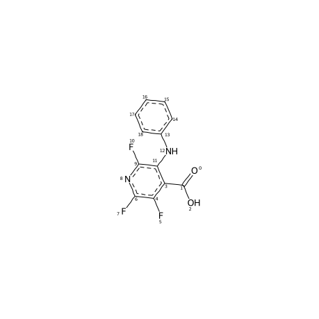 O=C(O)c1c(F)c(F)nc(F)c1Nc1ccccc1